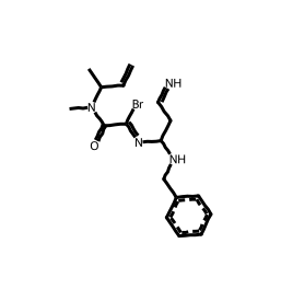 C=CC(C)N(C)C(=O)C(Br)=NC(CC=N)NCc1ccccc1